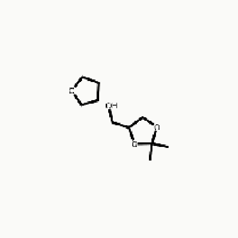 C1CCOC1.CC1(C)OCC(CO)O1